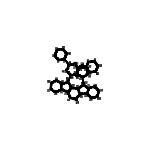 c1ccc(-c2nc(-c3ccccc3)nc(-n3c4ccccc4c4cnc5c6ccccc6n(-c6ccccc6)c5c43)n2)cc1